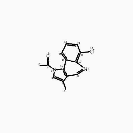 CC(=O)n1cc(C)c2cnc3c(Cl)cccc3c21